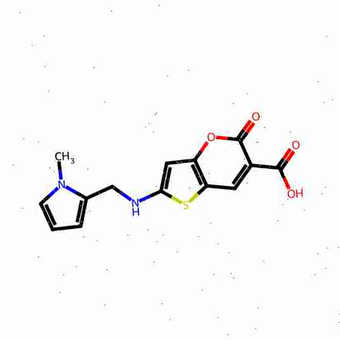 Cn1cccc1CNc1cc2oc(=O)c(C(=O)O)cc2s1